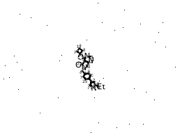 CCn1cc(-c2ccc(CN3Cc4ncnc(OC5CCC5)c4C3=O)cc2)cn1